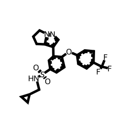 O=S(=O)(NCC1CC1)c1ccc(Oc2ccc(C(F)(F)F)cc2)c(-c2cnn3c2CCC3)c1